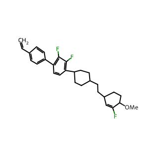 C=Cc1ccc(-c2ccc(C3CCC(CCC4C=C(F)C(OC)CC4)CC3)c(F)c2F)cc1